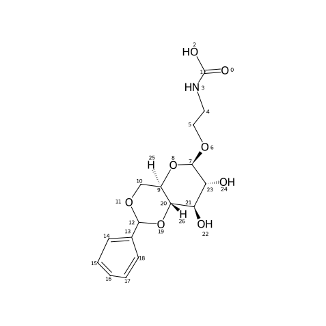 O=C(O)NCCO[C@@H]1O[C@@H]2COC(c3ccccc3)O[C@H]2[C@H](O)[C@H]1O